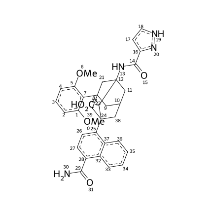 COc1cccc(OC)c1C12CC3CC(NC(=O)c4cc[nH]n4)(C1)C(C(=O)O)C(c1ccc(C(N)=O)c4ccccc14)(C3)C2